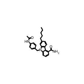 CCCCCc1c[c]c2c3c(C(N)=O)cccc3n(Cc3ccc(NC(C)=O)cc3)c2c1